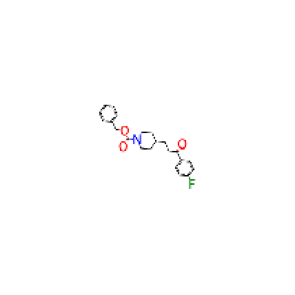 O=C(CCC1CCN(C(=O)OCc2ccccc2)CC1)c1ccc(F)cc1